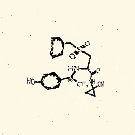 N#CC1(NC(=O)C(CS(=O)(=O)Cc2ccccc2)N[C@H](c2ccc(O)cc2)C(F)(F)F)CC1